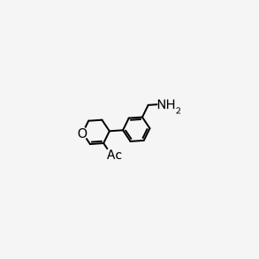 CC(=O)C1=COCCC1c1cccc(CN)c1